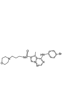 Cc1c(C(=O)NCCCN2CCOCC2)cn2ncnc(Nc3ccc(Br)cc3)c12